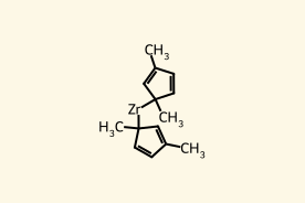 CC1=C[C](C)([Zr][C]2(C)C=CC(C)=C2)C=C1